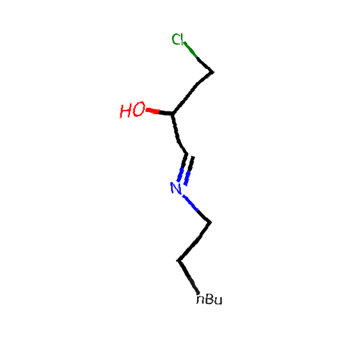 CCCCCCN=CC(O)CCl